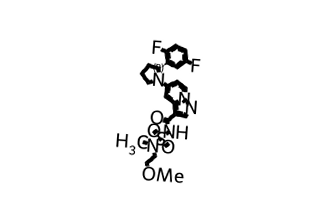 COCCN(C)S(=O)(=O)NC(=O)c1cnn2ccc(N3CCC[C@@H]3c3cc(F)ccc3F)cc12